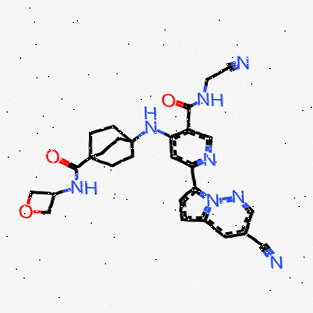 N#CCNC(=O)c1cnc(-c2ccc3cc(C#N)cnn23)cc1NC12CCC(C(=O)NC3COC3)(CC1)CC2